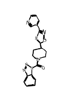 O=C(N1CCC(c2nc(-c3cccnc3)no2)CC1)n1nnc2ccccc21